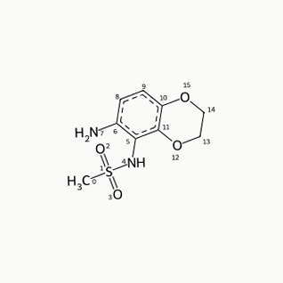 CS(=O)(=O)Nc1c(N)ccc2c1OCCO2